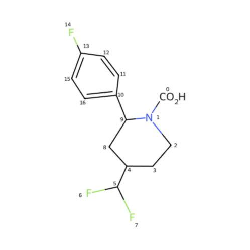 O=C(O)N1CCC(C(F)F)CC1c1ccc(F)cc1